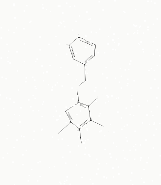 Cc1cc(OCc2ccccc2)c(I)c(C)c1C(=O)O